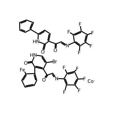 O=C(C=Nc1c(F)c(F)c(F)c(F)c1F)c1c(Br)c[nH]c(=O)c1-c1cccc[c]1[Fe].O=C(C=Nc1c(F)c(F)c(F)c(F)c1F)c1ccc(-c2ccccc2)[nH]c1=O.[Co]